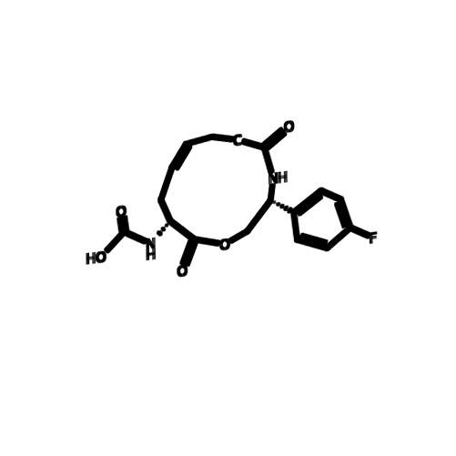 O=C(O)N[C@@H]1CC=CCCC(=O)N[C@H](c2ccc(F)cc2)COC1=O